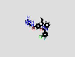 CCCCC(c1ccc(C(=O)NCc2nn[nH]n2)cc1)N1C(=O)C(c2ccc(F)c(Cl)c2)=NC12CCCCC2